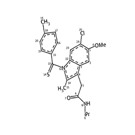 COc1cc2c(CC(=O)NC(C)C)c(C)n(C(=S)c3ccc(C)cc3)c2cc1Cl